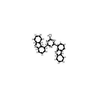 Clc1nc(-c2cccc3c2sc2ccccc23)nc(-c2cccc3sc4ccccc4c23)n1